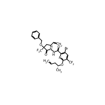 C=CCC[C@@](OCc1ccccc1)(C(=O)NNC(=O)c1nc(O[C@H](C)CC=C)c(C(F)(F)F)cc1Br)C(F)(F)F